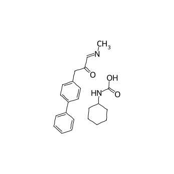 CN=CC(=O)Cc1ccc(-c2ccccc2)cc1.O=C(O)NC1CCCCC1